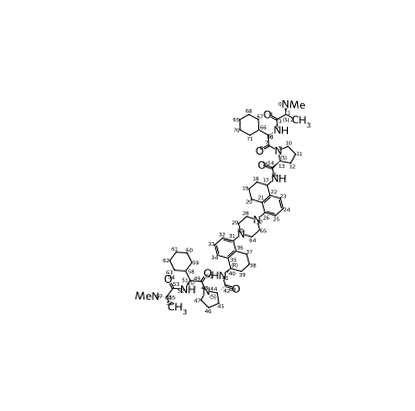 CN[C@@H](C)C(=O)N[C@H](C(=O)N1CCC[C@H]1C(=O)NC1CCCc2c1cccc2N1CCN(c2cccc3c2CCC[C@H]3NC(=O)[C@@H]2CCCN2C(=O)[C@@H](NC(=O)[C@H](C)NC)C2CCCCC2)CC1)C1CCCCC1